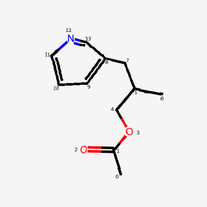 CC(=O)OCC(C)Cc1cccnc1